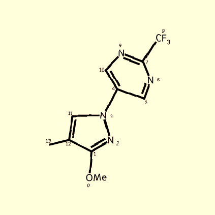 COc1nn(-c2cnc(C(F)(F)F)nc2)cc1C